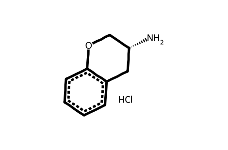 Cl.N[C@H]1COc2ccccc2C1